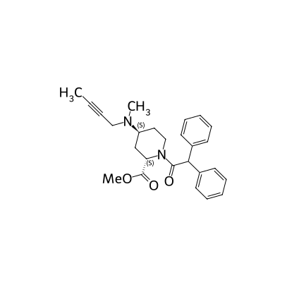 CC#CCN(C)[C@H]1CCN(C(=O)C(c2ccccc2)c2ccccc2)[C@H](C(=O)OC)C1